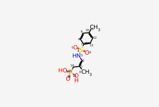 CC(=CNS(=O)(=O)c1ccc(C)cc1)CP(=O)(O)O